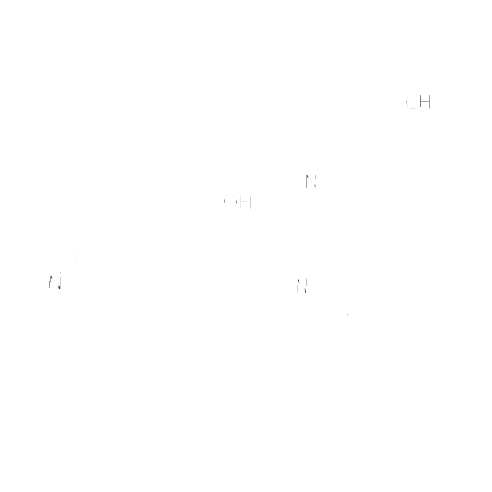 Cc1cnc2c(c1)c1c(n2CC(O)c2ccncc2)CCCC1